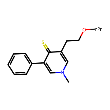 CCCOCCc1cn(C)cc(-c2ccccc2)c1=S